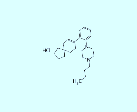 CCCCN1CCN(c2ccccc2C2=CCC3(CCCC3)CC2)CC1.Cl